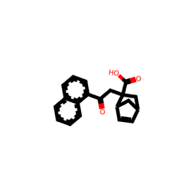 O=C(CC1(C(=O)O)CC2C=CC1C2)c1cccc2ccccc12